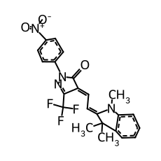 CN1/C(=C\C=C2\C(=O)N(c3ccc([N+](=O)[O-])cc3)N=C2C(F)(F)F)C(C)(C)c2ccccc21